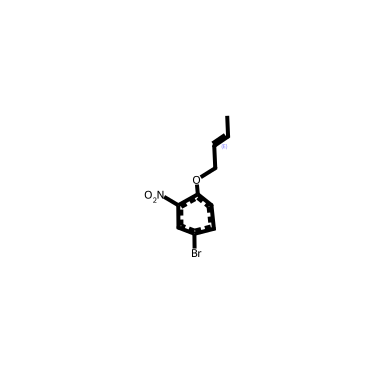 C/C=C/COc1ccc(Br)cc1[N+](=O)[O-]